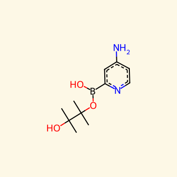 CC(C)(O)C(C)(C)OB(O)c1cc(N)ccn1